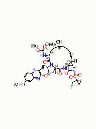 COC[C@@H]1C[C@H](C)CC/C=C\[C@@H]2C[C@@]2(C(=O)NS(=O)(=O)C2(CF)CC2)NC(=O)[C@@H]2C[C@@H](Oc3nc4cc(OC)ccc4nc3C(C)C)CN2C(=O)[C@H]1NC(=O)OC(C)(C)C